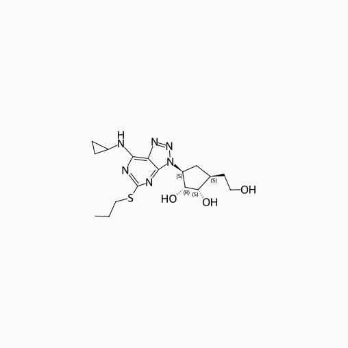 CCCSc1nc(NC2CC2)c2nnn([C@H]3C[C@@H](CCO)[C@H](O)[C@@H]3O)c2n1